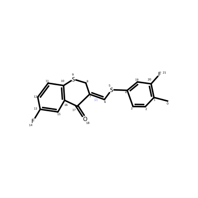 Cc1ccc(S/C=C2\CSc3ccc(F)cc3C2=O)cc1F